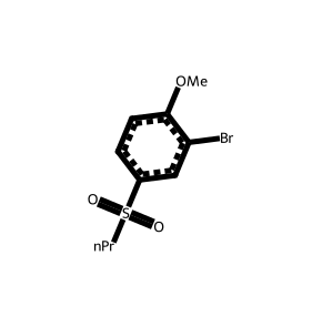 CCCS(=O)(=O)c1ccc(OC)c(Br)c1